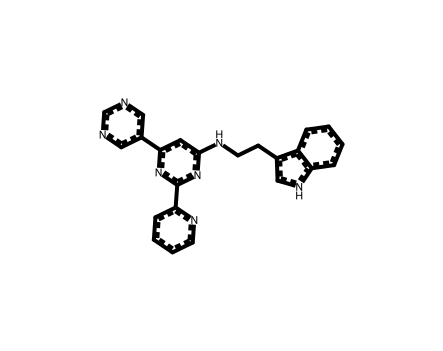 c1ccc(-c2nc(NCCc3c[nH]c4ccccc34)cc(-c3cncnc3)n2)nc1